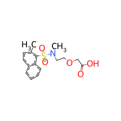 Cc1ccc2ccccc2c1S(=O)(=O)N(C)CCOCC(=O)O